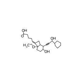 CCOC12CCC(O)C(C#CC(O)C3CCCCC3)C1CC2=CCCCC(=O)O